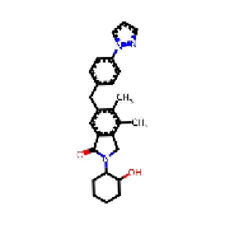 Cc1c(Cc2ccc(-n3cccn3)cc2)cc2c(c1C)CN(C1CCCCC1O)C2=O